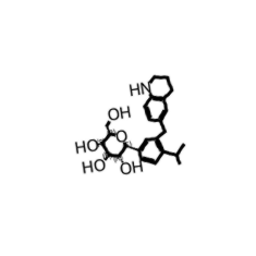 CC(C)c1ccc([C@@H]2O[C@H](CO)[C@@H](O)[C@H](O)[C@H]2O)cc1Cc1ccc2c(c1)CCCN2